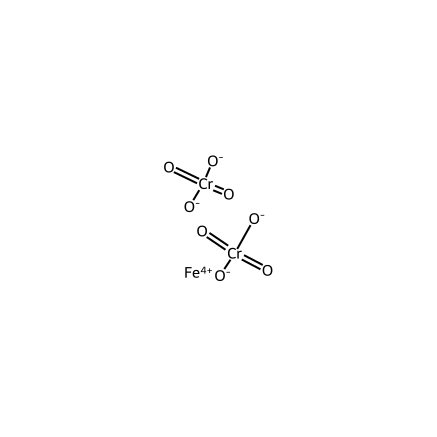 [Fe+4].[O]=[Cr](=[O])([O-])[O-].[O]=[Cr](=[O])([O-])[O-]